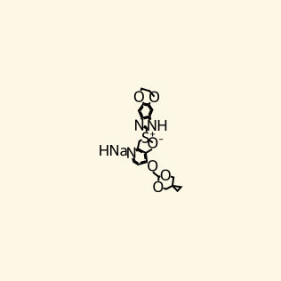 Cc1c(OCC2OCC3(CC3)CO2)ccnc1C[S+]([O-])c1nc2cc3c(cc2[nH]1)OCCO3.[NaH]